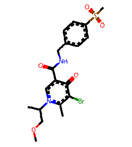 COCC(C)n1cc(C(=O)NCc2ccc(S(C)(=O)=O)cc2)c(=O)c(Br)c1C